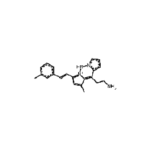 CC1=CC(/C=C/c2cccc(C)c2)=[N+]2Bn3cccc3C(CCN)=C12